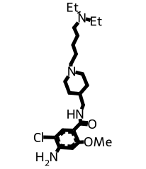 CCN(CC)CCCCCN1CCC(CNC(=O)c2cc(Cl)c(N)cc2OC)CC1